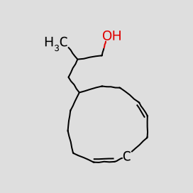 CC(CO)CC1CCC=CCCC=CCCC1